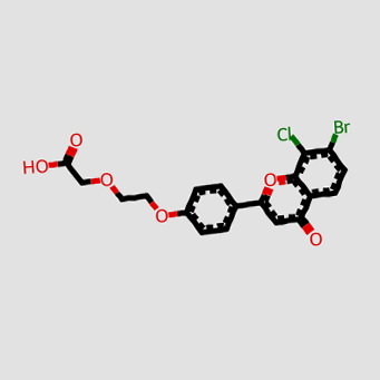 O=C(O)COCCOc1ccc(-c2cc(=O)c3ccc(Br)c(Cl)c3o2)cc1